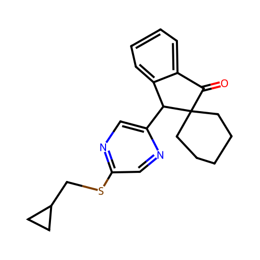 O=C1c2ccccc2C(c2cnc(SCC3CC3)cn2)C12CCCCC2